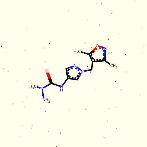 Cc1noc(C)c1Cn1cc(NC(=O)N(C)N)cn1